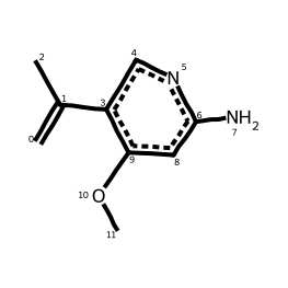 C=C(C)c1cnc(N)cc1OC